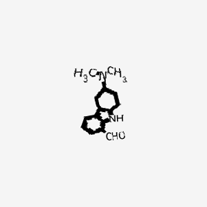 CN(C)C1CCc2[nH]c3c(C=O)cccc3c2C1